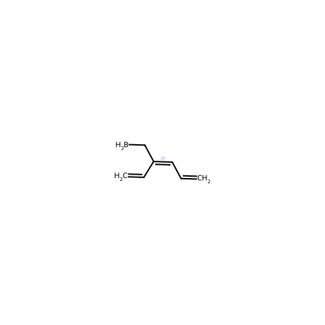 BC/C(C=C)=C/C=C